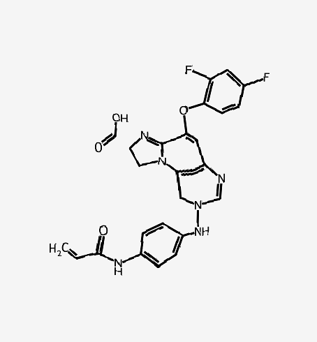 C=CC(=O)Nc1ccc(NN2C=NC3=C(C2)N2CCN=C2C(Oc2ccc(F)cc2F)=C3)cc1.O=CO